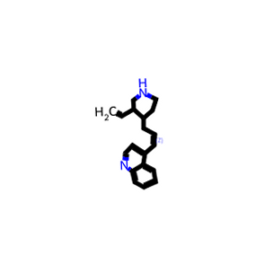 C=CC1CNCCC1C/C=C\c1ccnc2ccccc12